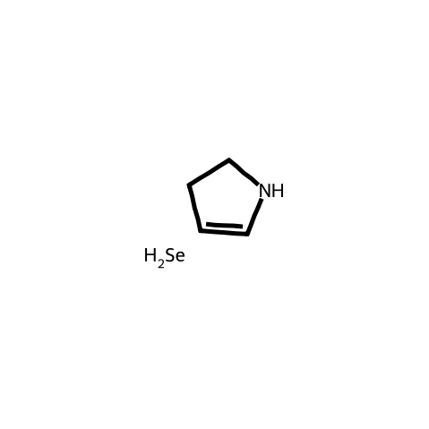 C1=CNCC1.[SeH2]